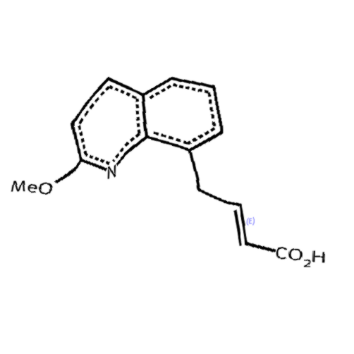 COc1ccc2cccc(C/C=C/C(=O)O)c2n1